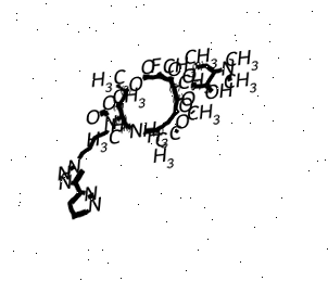 CC[C@H]1OC(=O)C(C)(F)C(=O)[C@H](C)[C@@H](O[C@@H]2O[C@H](C)CC(N(C)C)C2O)C(OC)(OC)C[C@@H](C)CN[C@H](C)[C@H]2N(CCCCn3cc(-c4cccnn4)nn3)C(=O)O[C@]12C